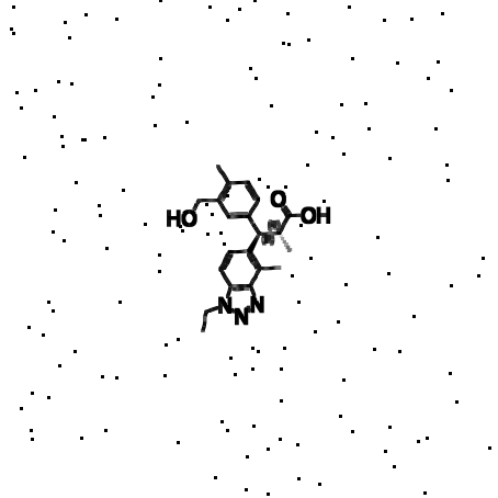 CCn1nnc2c(C)c([C@@H](c3ccc(C)c(CO)c3)[C@@H](C)C(=O)O)ccc21